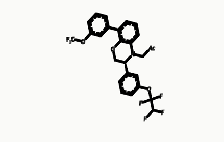 CC(=O)CN1c2cccc(-c3cccc(OC(F)(F)F)c3)c2OC[C@@H]1c1cccc(OC(F)(F)C(F)F)c1